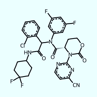 N#Cc1ccnc(N2C(=O)OCC[C@H]2C(=O)N(c2cc(F)cc(F)c2)C(C(=O)NC2CCC(F)(F)CC2)c2ccccc2Cl)n1